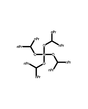 CCCC(CCC)[O][Ti]([O]C(CCC)CCC)([O]C(CCC)CCC)[O]C(CCC)CCC